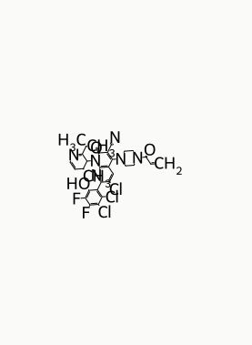 C=CC(=O)N1CCN(c2c(C#N)c(=O)n(C3C(C(C)C)=NC=C[C@H]3C)c3nc(-c4c(O)c(F)c(F)c(Cl)c4Cl)c(Cl)cc23)CC1